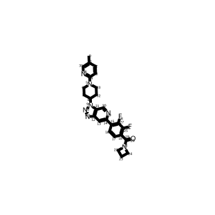 Cc1ccc(N2CCC(n3nnc4cc(-c5ccc(C(=O)N6CCC6)c(F)c5F)ncc43)CC2)nc1